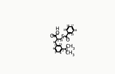 CC(C)c1cccc(CC(CSC(=O)c2ccccc2)C(=O)O)c1